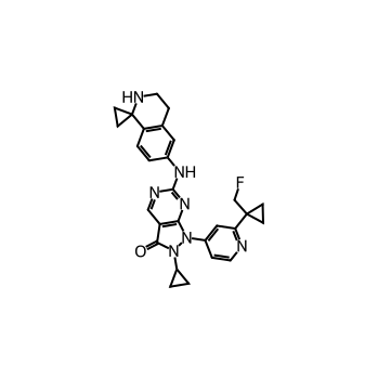 O=c1c2cnc(Nc3ccc4c(c3)CCNC43CC3)nc2n(-c2ccnc(C3(CF)CC3)c2)n1C1CC1